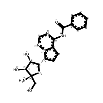 N[C@]1(CO)O[C@@H](c2ccc3c(NC(=O)c4ccccc4)ncnn23)[C@H](O)[C@@H]1O